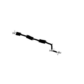 C#CC#CC#CCNCCCC